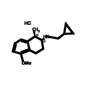 COc1cccc2c1CC[C@H](NCC1CC1)[C@@H]2C.Cl